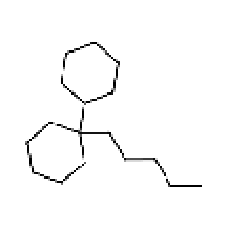 CCCCCC1(C2CCCCC2)CCCCC1